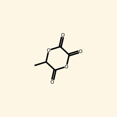 CC1OC(=O)C(=O)OC1=O